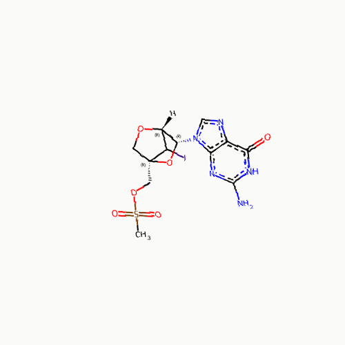 CS(=O)(=O)OC[C@]12CO[C@@H](C1I)[C@H](n1cnc3c(=O)[nH]c(N)nc31)O2